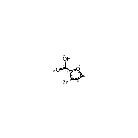 O=C(O)c1ccco1.[Zn]